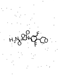 NC(=O)[C@H]1CN(c2cc(F)c(C3CCOCC3)c(F)c2)C(=O)O1